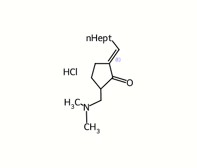 CCCCCCC/C=C1\CCC(CN(C)C)C1=O.Cl